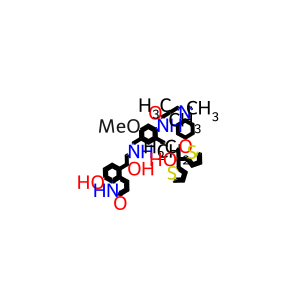 C=Cc1cc(CNC[C@H](O)c2ccc(O)c3[nH]c(=O)ccc23)c(OC)cc1NC(=O)C(C)(C)CN(C)[C@H]1CC[C@H](OC(=C)C(O)(c2cccs2)c2cccs2)CC1